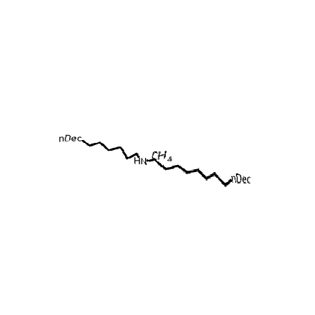 C.CCCCCCCCCCCCCCCCCCNCCCCCCCCCCCCCCCC